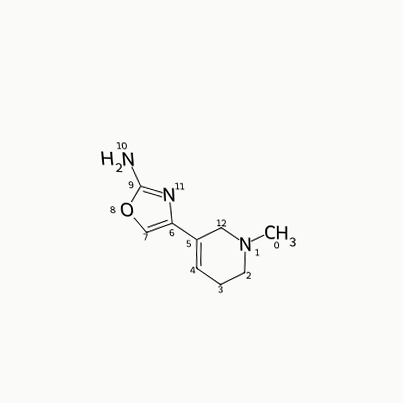 CN1CCC=C(c2coc(N)n2)C1